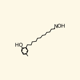 Cc1ccc(O)c(CCCCCCCCCCCC=NO)c1